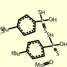 CC(C)(C)c1ccc(P(O)(=S)S)cc1.CC(C)(C)c1ccc(P(O)(=S)S)cc1.S.[O]=[Mo]